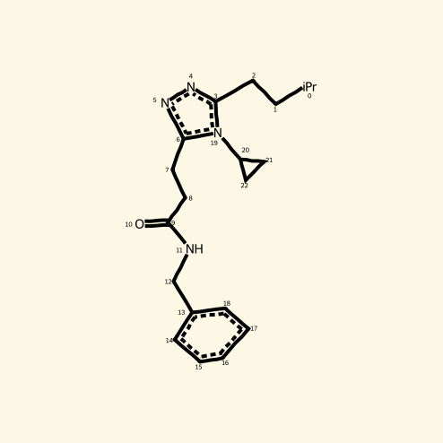 CC(C)CCc1nnc(CCC(=O)NCc2ccccc2)n1C1CC1